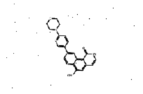 O=Cc1cc2cc[nH]c(=O)c2c2cc(-c3ccc(N4CCOCC4)nc3)ccc12